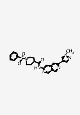 Cn1cc(-c2cc3cc(NC(=O)C4CCN(S(=O)(=O)c5ccccc5)CC4)ncc3cn2)cn1